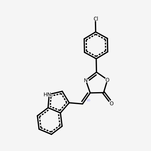 O=C1OC(c2ccc(Cl)cc2)=N/C1=C\c1c[nH]c2ccccc12